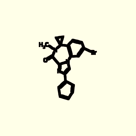 CN1C(=O)c2nc(-c3ccccc3)cn2-c2cc(Br)ccc2C12CC2